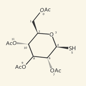 CC(=O)OC[C@H]1O[C@@H](S)[C@H](OC(C)=O)C(OC(C)=O)[C@@H]1OC(C)=O